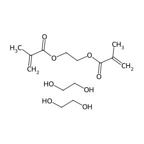 C=C(C)C(=O)OCCOC(=O)C(=C)C.OCCO.OCCO